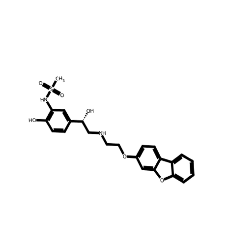 CS(=O)(=O)Nc1cc([C@H](O)CNCCOc2ccc3c(c2)oc2ccccc23)ccc1O